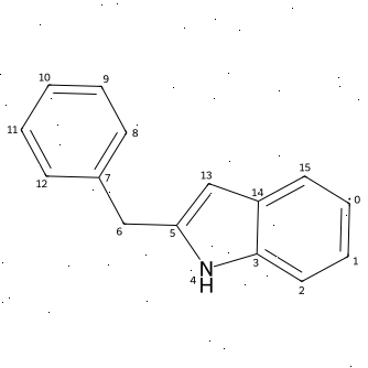 [c]1ccc2[nH]c(Cc3ccccc3)cc2c1